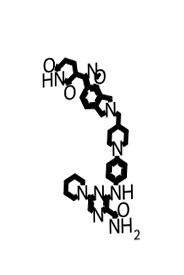 NC(=O)c1ncc(N2CCCCC2)nc1Nc1ccc(N2CCC(CN3Cc4ccc5c(C6CCC(=O)NC6=O)noc5c4C3)CC2)cc1